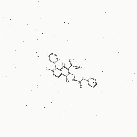 COC(=O)c1[nH]c2c(-c3ccccc3)c(Cl)ccc2c(=O)c1CNC(=O)Oc1ccccc1